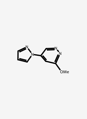 COc1cc(-n2cccn2)cnn1